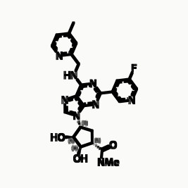 CNC(=O)[C@H]1C[C@@H](n2cnc3c(NCc4cc(C)ccn4)nc(-c4cncc(F)c4)nc32)[C@H](O)[C@@H]1O